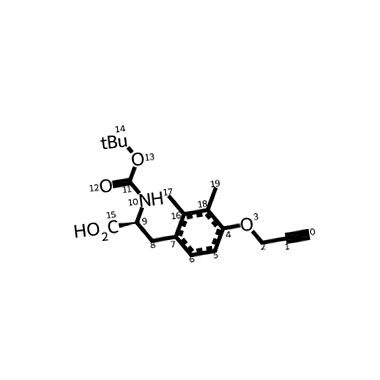 C#CCOc1ccc(C[C@H](NC(=O)OC(C)(C)C)C(=O)O)c(C)c1C